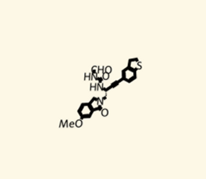 COc1ccc2c(c1)C(=O)N(C[C@@H](C#Cc1ccc3c(c1)CCS3)NC(=O)NC=O)C2